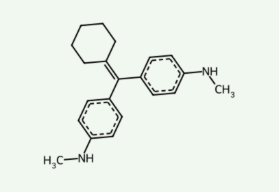 CNc1ccc(C(=C2CCCCC2)c2ccc(NC)cc2)cc1